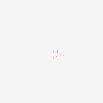 CCCCC(C)(CCC)NP(=O)(OS)OSC